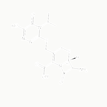 CC(C)n1c(SCC2=C(C(=O)O)N3C(=O)C(N)[C@H]3SC2)nnc(O)c1=O